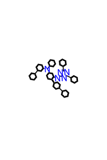 c1ccc(-c2cccc(N(c3ccccc3)c3ccc4c5ccc(-c6ccccc6)cc5n(-c5nc(-c6ccccc6)nc(-c6ccccc6)n5)c4c3)c2)cc1